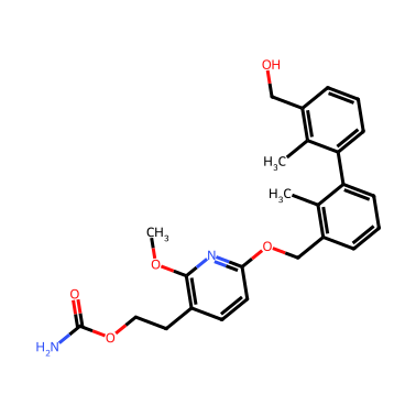 COc1nc(OCc2cccc(-c3cccc(CO)c3C)c2C)ccc1CCOC(N)=O